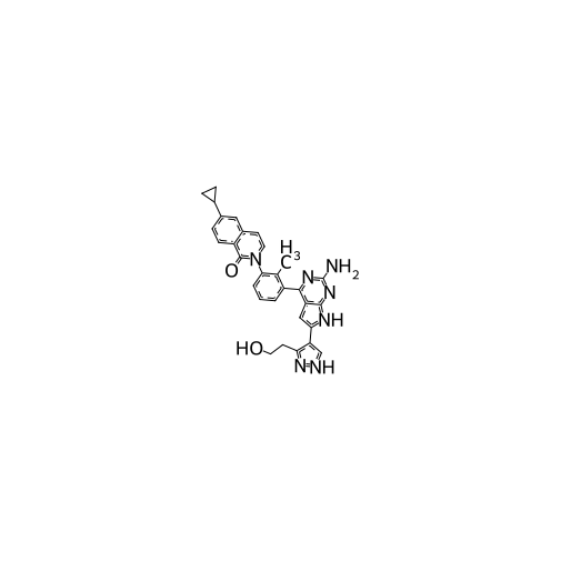 Cc1c(-c2nc(N)nc3[nH]c(-c4c[nH]nc4CCO)cc23)cccc1-n1ccc2cc(C3CC3)ccc2c1=O